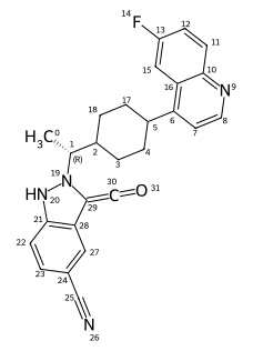 C[C@H](C1CCC(c2ccnc3ccc(F)cc23)CC1)N1Nc2ccc(C#N)cc2C1=C=O